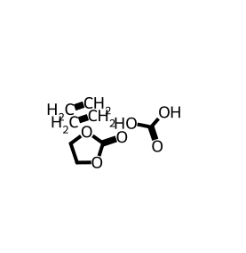 C=C.C=C.O=C(O)O.O=C1OCCO1